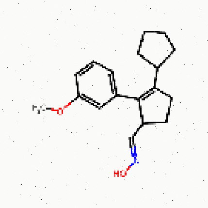 ON=CC1CCC(C2CCCC2)=C1c1cccc(OC(F)(F)F)c1